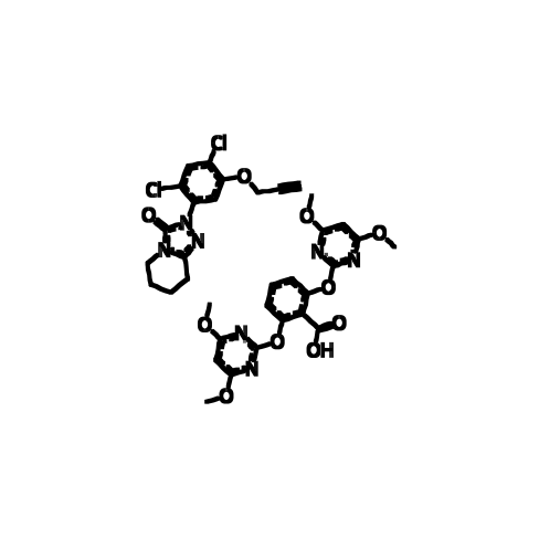 C#CCOc1cc(-n2nc3n(c2=O)CCCC3)c(Cl)cc1Cl.COc1cc(OC)nc(Oc2cccc(Oc3nc(OC)cc(OC)n3)c2C(=O)O)n1